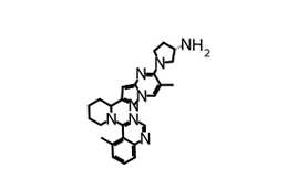 Cc1cn2nc(C3CCCCN3c3ncnc4cccc(C)c34)cc2nc1N1CC[C@H](N)C1